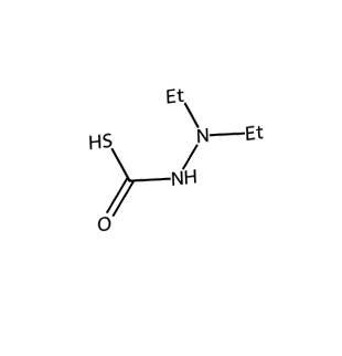 CCN(CC)NC(=O)S